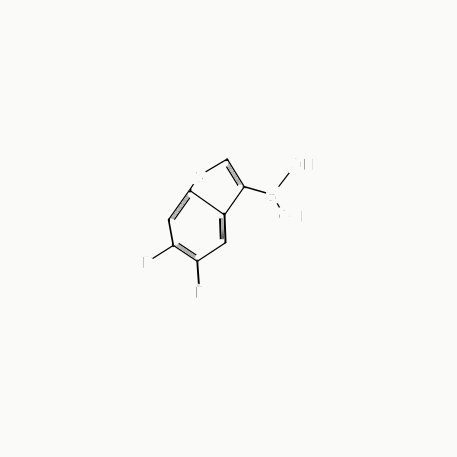 OB(O)c1csc2cc(F)c(F)cc12